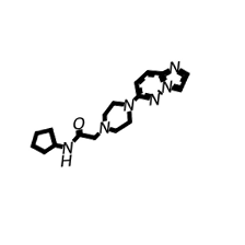 O=C(CN1CCN(c2ccc3nccn3n2)CC1)NC1CCCC1